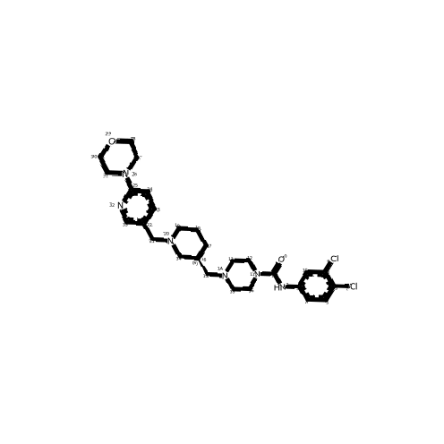 O=C(Nc1ccc(Cl)c(Cl)c1)N1CCN(C[C@@H]2CCCN(Cc3ccc(N4CCOCC4)nc3)C2)CC1